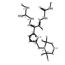 CNC(=S)N/N=C(C)/C(=N\NC(S)NC)c1ccc(CN2C(C)(C)COCC2(C)C)o1